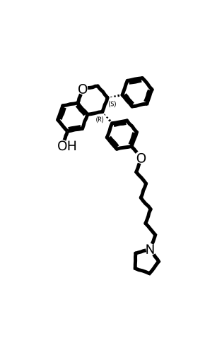 Oc1ccc2c(c1)[C@@H](c1ccc(OCCCCCCN3CCCC3)cc1)[C@@H](c1ccccc1)CO2